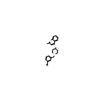 Cc1cc(OC2CCN(Cc3cccc(C#N)c3)CC2)c2ccccc2n1